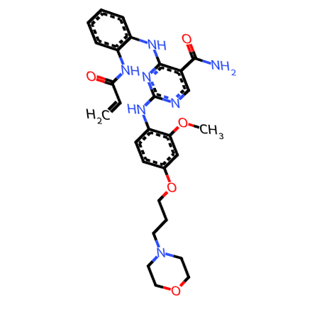 C=CC(=O)Nc1ccccc1Nc1nc(Nc2ccc(OCCCN3CCOCC3)cc2OC)ncc1C(N)=O